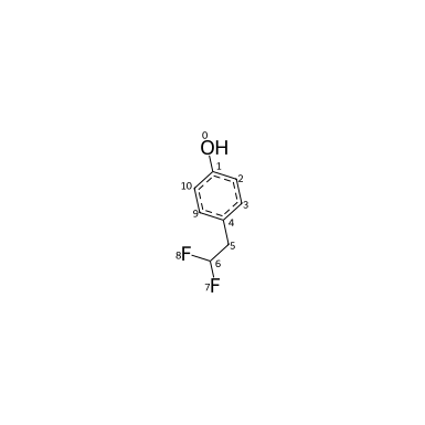 Oc1ccc(CC(F)F)cc1